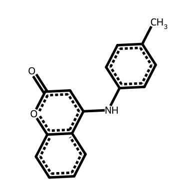 Cc1ccc(Nc2cc(=O)oc3ccccc23)cc1